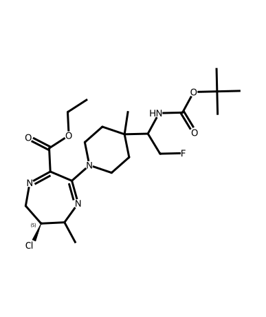 CCOC(=O)C1=NC[C@H](Cl)C(C)N=C1N1CCC(C)(C(CF)NC(=O)OC(C)(C)C)CC1